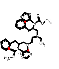 CCN(CCN(CC)CC(Cc1ccccc1)N(C(=O)OC)c1cncs1)CC(Cc1ccccc1)N(C(=O)OC)c1cncs1